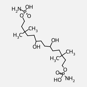 CC(C)(CCOP(N)(=O)O)CCC(O)CCC(O)CCC(C)(C)CCOP(N)(=O)O